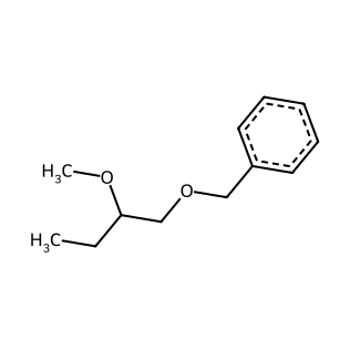 CCC(COCc1ccccc1)OC